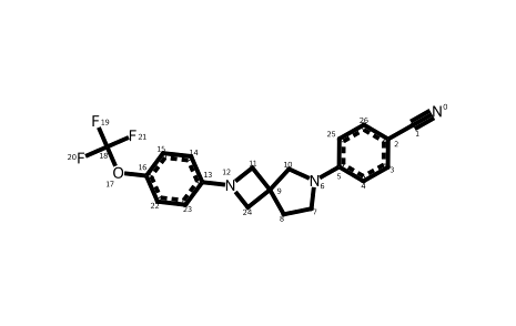 N#Cc1ccc(N2CCC3(C2)CN(c2ccc(OC(F)(F)F)cc2)C3)cc1